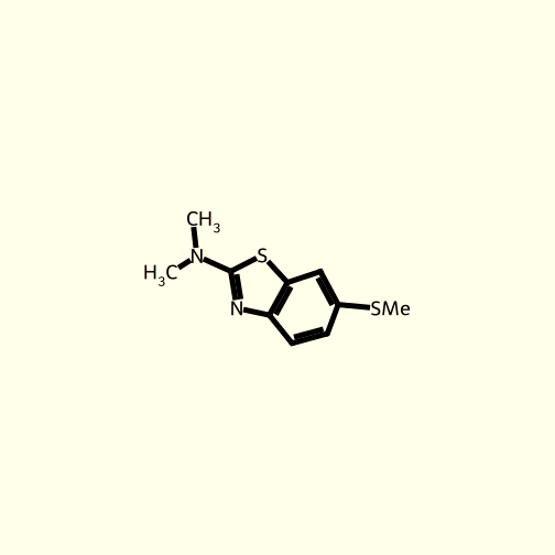 CSc1ccc2nc(N(C)C)sc2c1